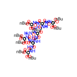 CCCCOC(=O)c1cc(NC(=O)CNC(=O)c2cc(NC(=O)CCC(=O)c3cc(NC(=O)CN)cc(C(=O)NCC(=O)Nc4cc(C(=O)NCC(=O)Nc5cc(C(=O)OCCCC)cc(C(=O)OCCCC)c5)cc(C(=O)NCC(=O)Nc5cc(C(=O)OCCCC)cc(C(=O)OCCCC)c5)c4)c3)cc(C(=O)NCC(=O)Nc3cc(C(=O)OCCCC)cc(C(=O)OCCCC)c3)c2)cc(C(=O)OCCCC)c1